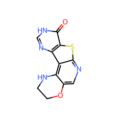 O=c1[nH]cnc2c1sc1ncc3c(c12)NCCO3